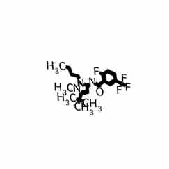 CCCCn1/c(=N/C(=O)c2cc(C(F)(F)F)ccc2F)cc(C(C)(C)C)n1C